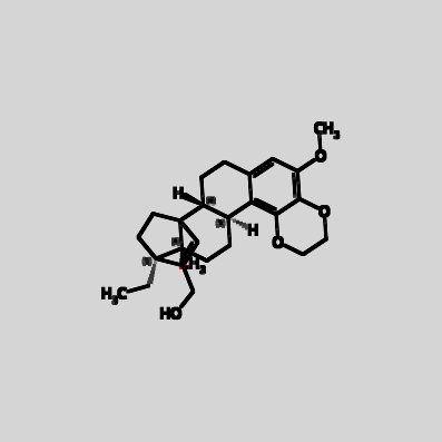 CC[C@@]12CCC3(C=C1CO)[C@@H]1CCc4cc(OC)c5c(c4[C@H]1CC[C@@]32C)OCCO5